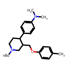 CCCCN1CCC(c2ccc(N(C)C)cc2)C(COc2ccc(C)cc2)C1